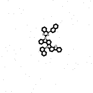 c1ccc2cc(-c3nc(-n4c5ccccc5c5c4ccc4c6c7oc8ccccc8c7ccc6n(-c6cccc7ccccc67)c45)nc4ccccc34)ccc2c1